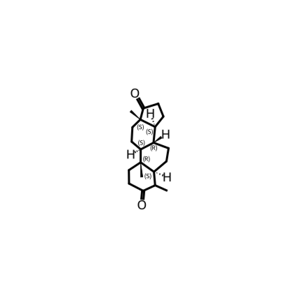 CC1C(=O)CC[C@@]2(C)[C@H]1CC[C@@H]1[C@@H]2CC[C@]2(C)C(=O)CC[C@@H]12